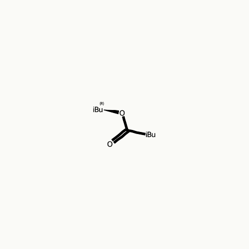 CCC(C)C(=O)O[C@H](C)CC